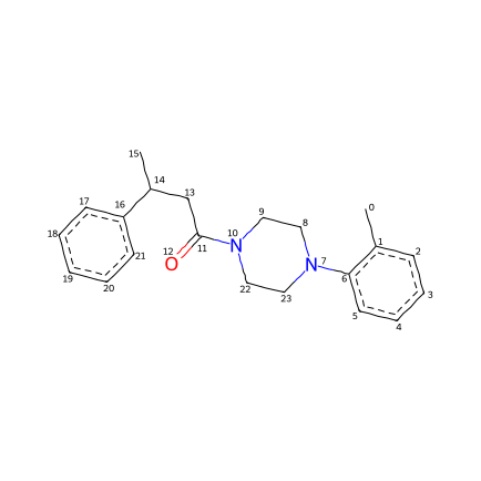 Cc1ccccc1N1CCN(C(=O)CC(C)c2ccccc2)CC1